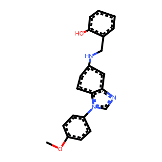 COc1ccc(-n2cnc3cc(NCc4ccccc4O)ccc32)cc1